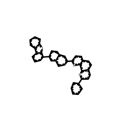 c1ccc(-c2ccc3ccc4ccc(-c5ccc6cc(-c7cccc8c7sc7ccccc78)ccc6c5)nc4c3n2)cc1